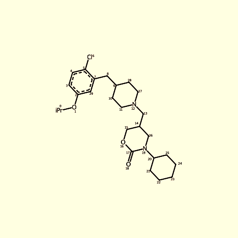 CC(C)Oc1ccc(Cl)c(CC2CCN(CC3COC(=O)N(C4CCCCC4)C3)CC2)c1